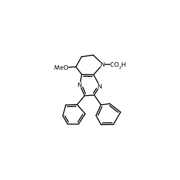 COC1CCN(C(=O)O)c2nc(-c3ccccc3)c(-c3ccccc3)nc21